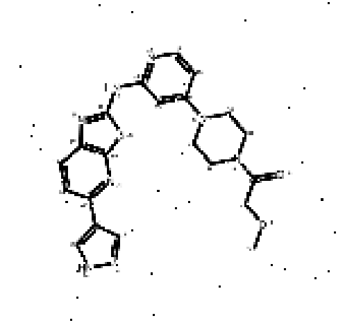 COCC(=O)N1CCN(c2ccnc(Nc3nc4ccc(-c5cn[nH]c5)nc4s3)c2)CC1